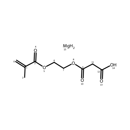 C=C(C)C(=O)OCCOC(=O)CC(=O)O.[MgH2]